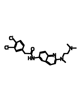 CN(C)CCN(C)c1ccc2cc(NC(=O)Cc3ccc(Cl)c(Cl)c3)ccc2n1